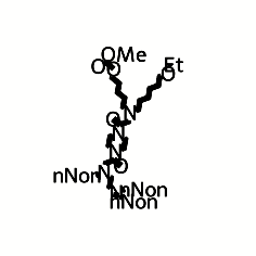 CCCCCCCCCN(CCCCCCCCC)CCN(CCCCCCCCC)CC(=O)N1CCN(C(=O)CN(CCCCCCOCC)CCCCCOC(=O)OC)CC1